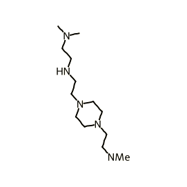 CNCCN1CCN(CCNCCN(C)C)CC1